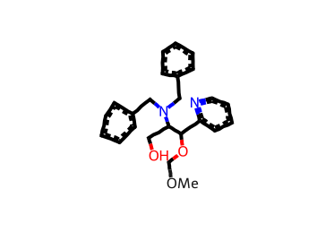 COCOC(c1ccccn1)C(CO)N(Cc1ccccc1)Cc1ccccc1